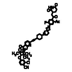 CC(=O)c1cc(N2CC3(CCN(C4CCC(C#Cc5ccc6c(n5)CN([C@H]5C(C)(C)[C@H](Oc7ccc(C#N)c(Cl)c7)C5(C)C)C6=O)CC4)C3)C2)c(F)cc1C(=O)CC1CCC(=O)NC1=O